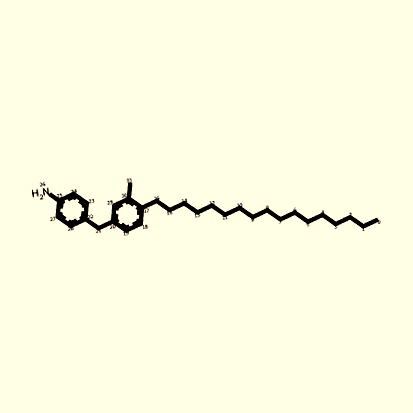 CCCCCCCCCCCCCCCCCc1ccc(Cc2ccc(N)cc2)cc1C